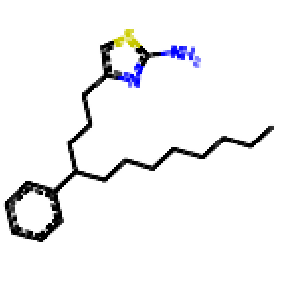 CCCCCCCCC(CCCc1csc(N)n1)c1ccccc1